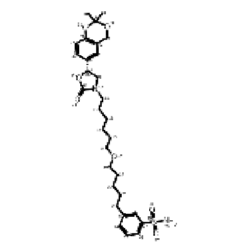 CC1(C)OCc2cc([C@@H]3CN(CCCCCCOCCCCCc4cccc(S(N)(=O)=O)c4)C(=O)O3)ccc2O1